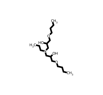 CCCCOCC(O)CN(CCC)CC(O)COCCCC